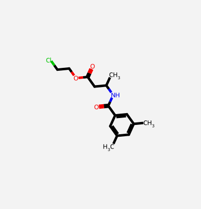 Cc1cc(C)cc(C(=O)NC(C)CC(=O)OCCCl)c1